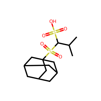 CC(C)C(S(=O)(=O)O)S(=O)(=O)C12CC3CC(CC(C3)C1)C2